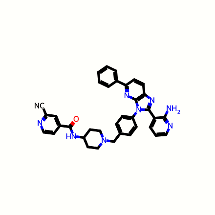 N#Cc1cc(C(=O)NC2CCN(Cc3ccc(-n4c(-c5cccnc5N)nc5ccc(-c6ccccc6)nc54)cc3)CC2)ccn1